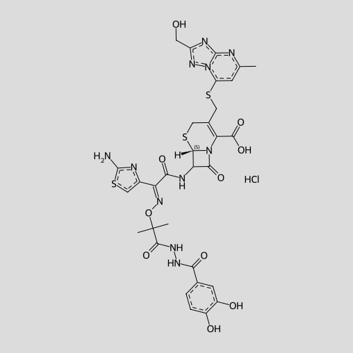 Cc1cc(SCC2=C(C(=O)O)N3C(=O)C(NC(=O)C(=NOC(C)(C)C(=O)NNC(=O)c4ccc(O)c(O)c4)c4csc(N)n4)[C@@H]3SC2)n2nc(CO)nc2n1.Cl